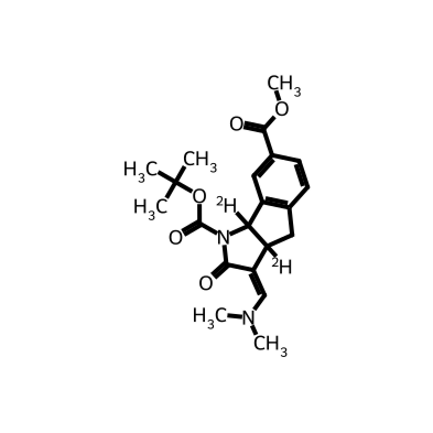 [2H]C12Cc3ccc(C(=O)OC)cc3C1([2H])N(C(=O)OC(C)(C)C)C(=O)C2=CN(C)C